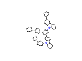 c1ccc(-c2ccc(-c3cc(-c4ccc5c6ccccc6n(-c6cccc(-c7ccccc7)c6)c5c4)cc(-n4c5ccccc5c5cc(-c6ccccc6)ccc54)c3)cc2)cc1